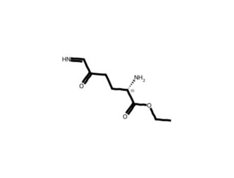 CCOC(=O)[C@@H](N)CCC(=O)C=N